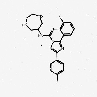 Fc1ccc(-c2nc3c4cccc(F)c4nc(NC4CNCCNC4)n3n2)cc1